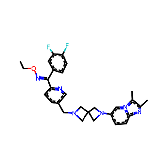 CCON=C(c1ccc(F)c(F)c1)c1ccc(CN2CC3(C2)CN(c2ccc4nc(C)c(C)n4c2)C3)cn1